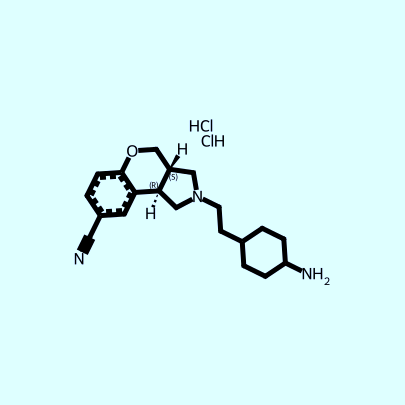 Cl.Cl.N#Cc1ccc2c(c1)[C@@H]1CN(CCC3CCC(N)CC3)C[C@H]1CO2